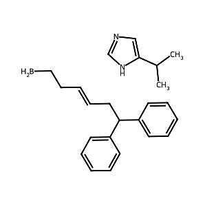 BCCC=CCC(c1ccccc1)c1ccccc1.CC(C)c1cnc[nH]1